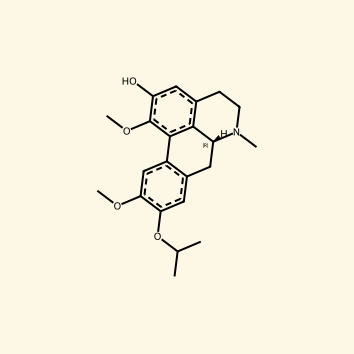 COc1cc2c(cc1OC(C)C)C[C@@H]1c3c(cc(O)c(OC)c3-2)CCN1C